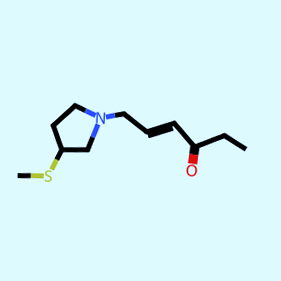 CCC(=O)/C=C/CN1CCC(SC)C1